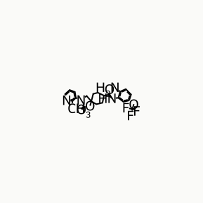 Cc1ncccc1N1CC2(CCC(C(=O)Nc3cc(OC(F)(F)F)ccc3N)CC2)OC1=O